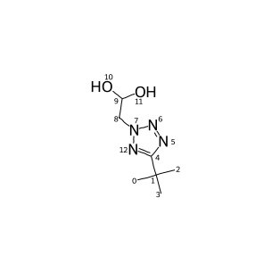 CC(C)(C)c1nnn(CC(O)O)n1